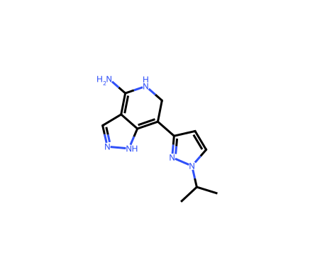 CC(C)n1ccc(C2=c3[nH]ncc3=C(N)NC2)n1